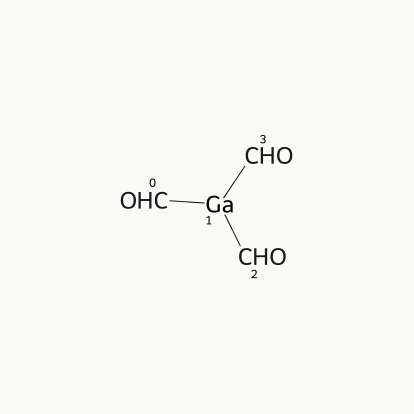 O=[CH][Ga]([CH]=O)[CH]=O